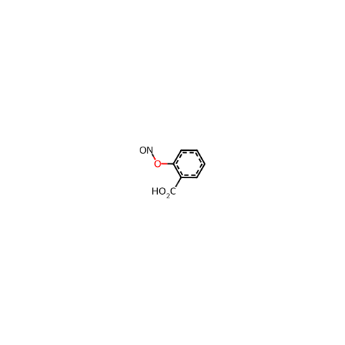 O=NOc1ccccc1C(=O)O